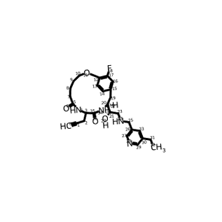 C#CCC1NC(=O)CCCCOc2ccc(cc2F)C[C@@H]([C@H](O)CNCc2cncc(CC)c2)NC1=O